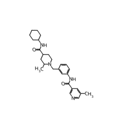 Cc1cncc(C(=O)Nc2cccc(CN3CCC(C(=O)NC4CCCCC4)CC3C)c2)c1